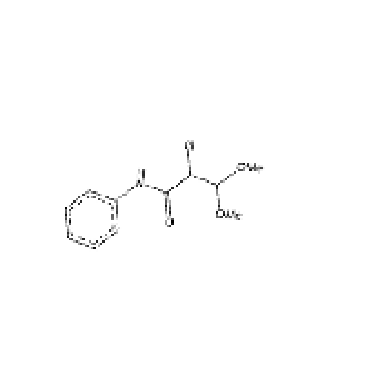 COC(OC)C(Cl)C(=O)Nc1ccccc1